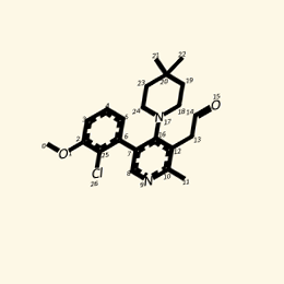 COc1cccc(-c2cnc(C)c(CC=O)c2N2CCC(C)(C)CC2)c1Cl